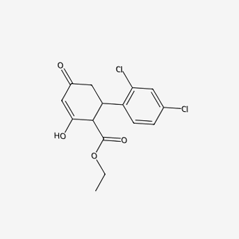 CCOC(=O)C1C(O)=CC(=O)CC1c1ccc(Cl)cc1Cl